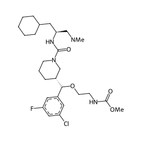 CNC[C@H](CC1CCCCC1)NC(=O)N1CCC[C@@H](C(OCCNC(=O)OC)c2cc(F)cc(Cl)c2)C1